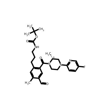 Cc1cc(CCCNC(=O)OC(C)(C)C)c(C(=O)N2CCN(c3ccc(F)cn3)C[C@H]2C)cc1C=O